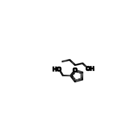 CCCCO.OCc1ccco1